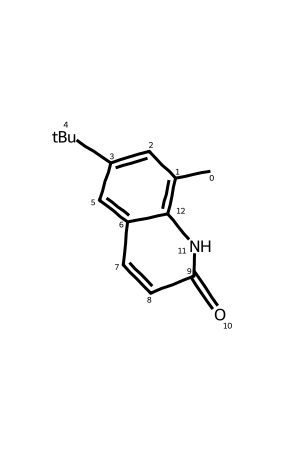 Cc1cc(C(C)(C)C)cc2ccc(=O)[nH]c12